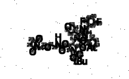 CC(=O)O[C@@H](C)C(=O)N(C[C@@H]1CN(C(=O)OC(C)(C)C)C[C@H]1OC(=O)NCCOCCN1C(=O)C=CC1=O)[C@@H](c1nc(-c2cc(F)ccc2F)cn1Cc1ccccc1)C1CCOCC1